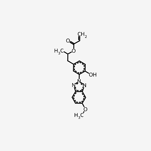 C=CC(=O)OC(C)Cc1ccc(O)c(-n2nc3ccc(OC)cc3n2)c1